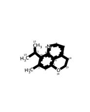 Cc1cc2c3c(ccnc3c1C(C)C)CCO2